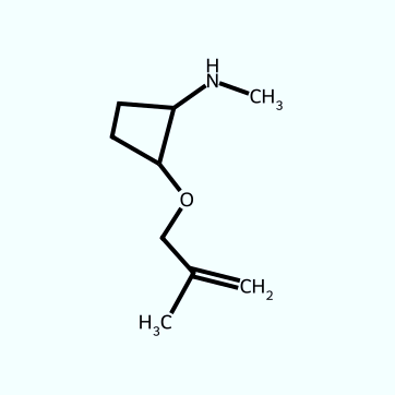 C=C(C)COC1CCC1NC